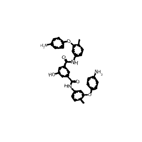 Cc1ccc(NC(=O)c2cc(O)cc(C(=O)Nc3ccc(C)c(Oc4ccc(N)cc4)c3)c2)cc1Oc1ccc(N)cc1